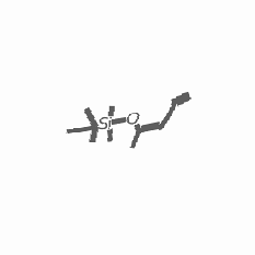 C=C/C=C(/C)O[Si](C)(C)C(C)(C)C